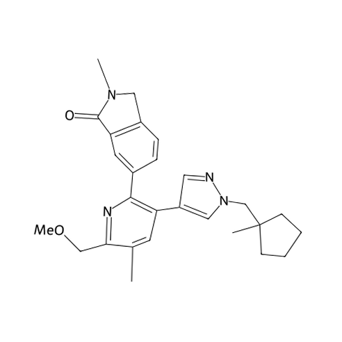 COCc1nc(-c2ccc3c(c2)C(=O)N(C)C3)c(-c2cnn(CC3(C)CCCC3)c2)cc1C